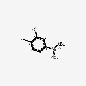 CCN(c1ccc(F)c(Cl)c1)C(C)(C)C